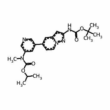 CC(C)OC(=O)N(C)c1cncc(-c2ccn3nc(NC(=O)OC(C)(C)C)cc3c2)c1